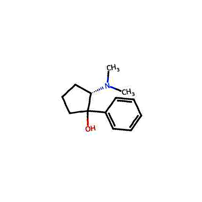 CN(C)[C@H]1CCCC1(O)c1ccccc1